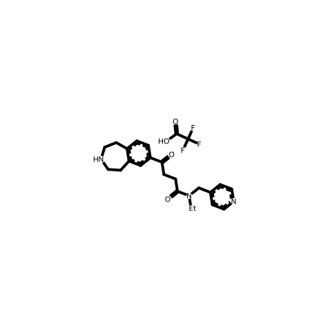 CCN(Cc1ccncc1)C(=O)CCC(=O)c1ccc2c(c1)CCNCC2.O=C(O)C(F)(F)F